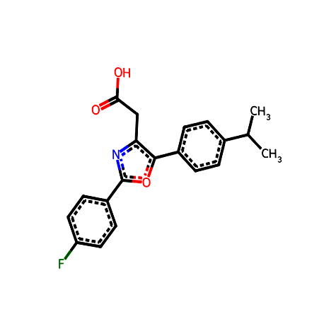 CC(C)c1ccc(-c2oc(-c3ccc(F)cc3)nc2CC(=O)O)cc1